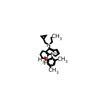 CCCN(CC1CC1)C1=C2C=CC[N+]2(c2c(C)cc(C)cc2C)C2=C1CCCN2